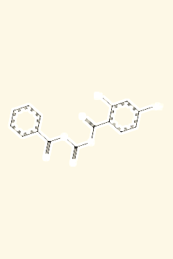 CCCc1ccc(C(=O)OC(=O)OC(=O)c2ccccc2)c(CC)c1